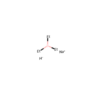 CCB(CC)CC.[H-].[Na+]